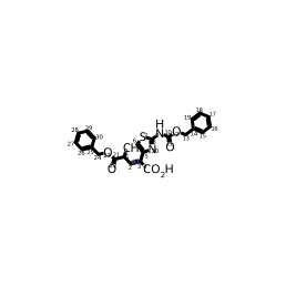 CC(/C=C(/C(=O)O)c1csc(NC(=O)OCc2ccccc2)n1)C(=O)OCc1ccccc1